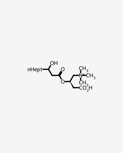 CCCCCCCC(O)CC(=O)O[C@H](CC(=O)O)C[N+](C)(C)C